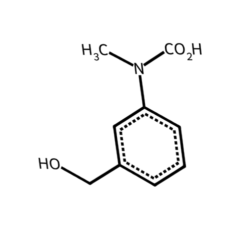 CN(C(=O)O)c1cccc(CO)c1